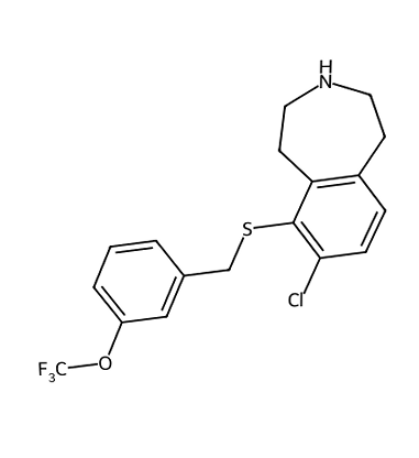 FC(F)(F)Oc1cccc(CSc2c(Cl)ccc3c2CCNCC3)c1